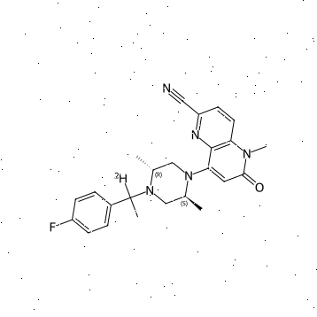 [2H]C(C)(c1ccc(F)cc1)N1C[C@H](C)N(c2cc(=O)n(C)c3ccc(C#N)nc23)C[C@H]1C